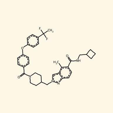 Cc1c(C(=O)NCC2CCC2)ccc2nn(CC3CCN(C(=O)c4ccc(Oc5ccc(C(C)(F)F)cc5)cc4)CC3)cc12